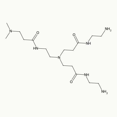 CN(C)CCC(=O)NCCN(CCC(=O)NCCN)CCC(=O)NCCN